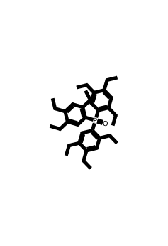 CCc1cc(CC)c(P(=O)(c2cc(CC)c(CC)cc2CC)c2cc(CC)c(CC)cc2CC)cc1CC